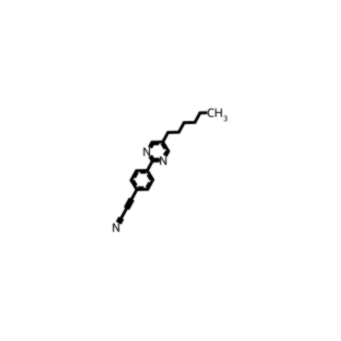 CCCCCCc1cnc(-c2ccc(C#CC#N)cc2)nc1